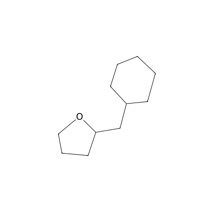 C1CCC(CC2CCCO2)CC1